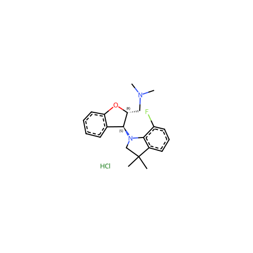 CN(C)C[C@H]1Oc2ccccc2[C@@H]1N1CC(C)(C)c2cccc(F)c21.Cl